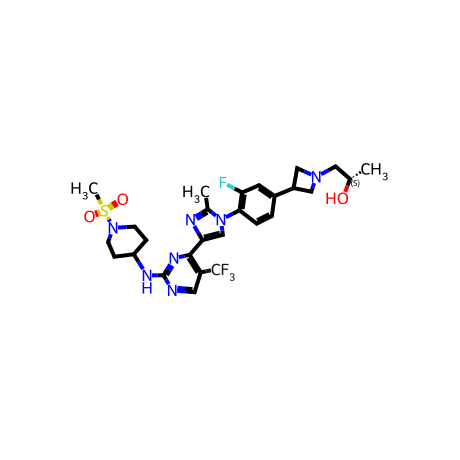 Cc1nc(-c2nc(NC3CCN(S(C)(=O)=O)CC3)ncc2C(F)(F)F)cn1-c1ccc(C2CN(C[C@H](C)O)C2)cc1F